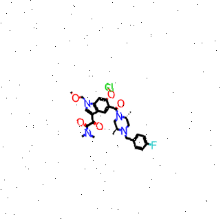 COCn1cc(C(=O)C(=O)N(C)C)c2cc(C(=O)N3C[C@H](C)N(Cc4ccc(F)cc4)C[C@H]3C)c(OCl)cc21